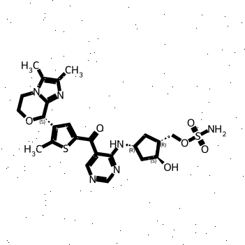 Cc1nc2n(c1C)CCO[C@H]2c1cc(C(=O)c2cncnc2N[C@@H]2C[C@H](COS(N)(=O)=O)[C@@H](O)C2)sc1C